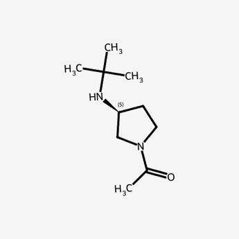 CC(=O)N1CC[C@H](NC(C)(C)C)C1